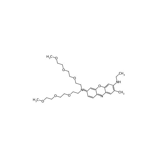 CCNc1cc2oc3cc(=[N+](CCOCCOCCOC)CCOCCOCCOC)ccc-3nc2cc1C